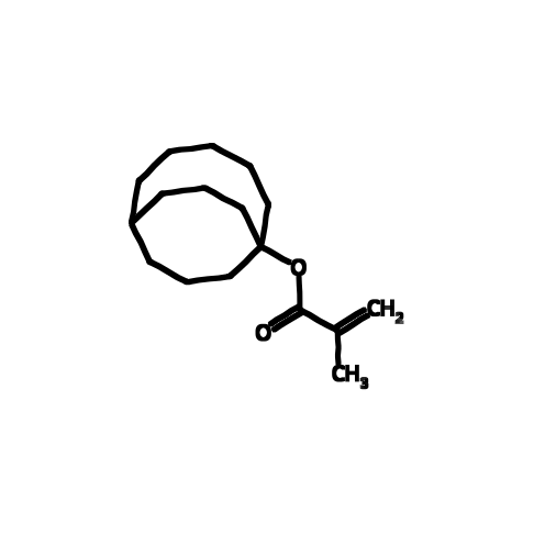 C=C(C)C(=O)OC12CCCCCC(CCC1)CCC2